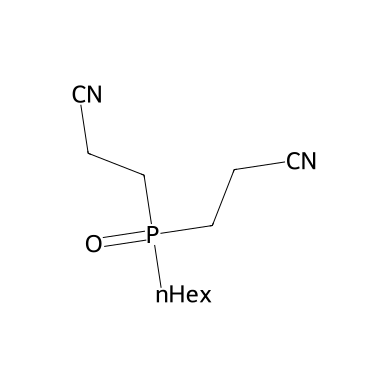 CCCCCCP(=O)(CCC#N)CCC#N